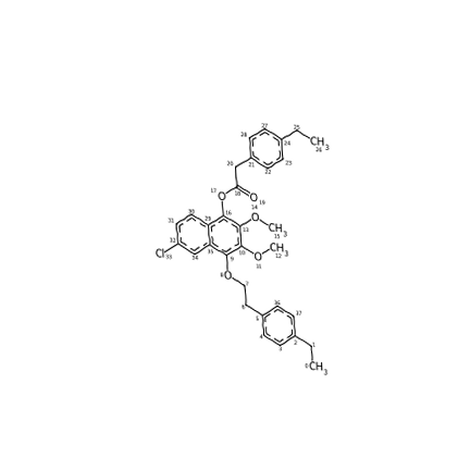 CCc1ccc(CCOc2c(OC)c(OC)c(OC(=O)Cc3ccc(CC)cc3)c3ccc(Cl)cc23)cc1